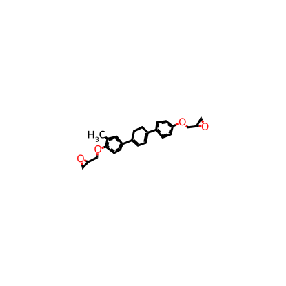 Cc1cc(C2=CC=C(c3ccc(OCC4CO4)cc3)CC2)ccc1OCC1CO1